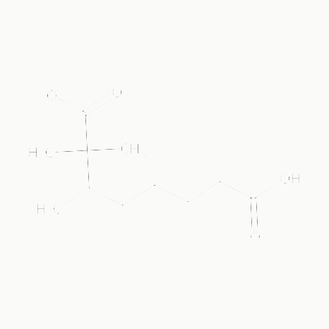 CC(CCCCC(=O)O)C(C)(C)C([O])=O